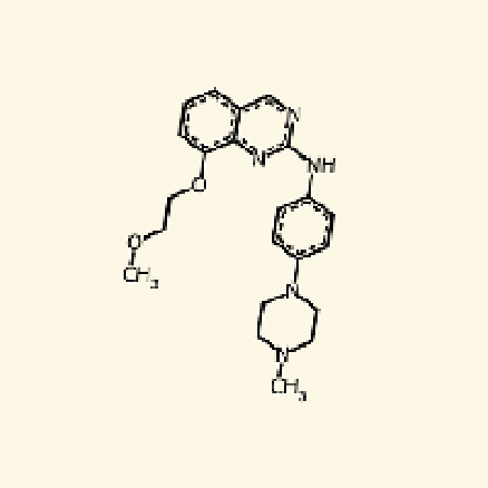 COCCOc1cccc2cnc(Nc3ccc(N4CCN(C)CC4)cc3)nc12